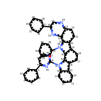 c1ccc(-c2ccnc(-n3c4ccccc4c4ccc5c6ccc7ncc(-c8ccccc8)nc7c6n(-c6ccccc6)c5c43)n2)cc1